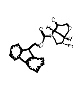 CC[C@H]1CN(C(=O)OCC2c3ccccc3-c3ccccc32)[C@@H]2C(=O)CO[C@H]12